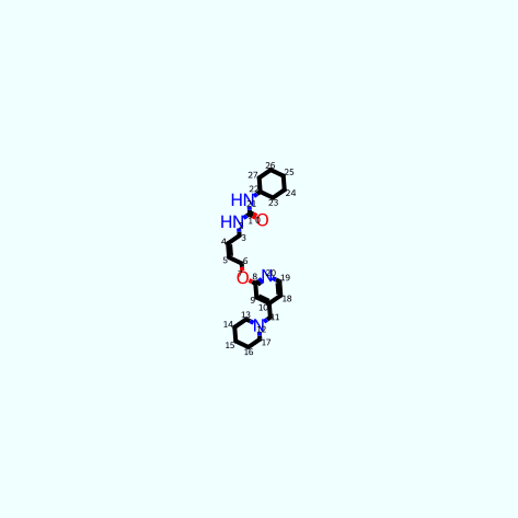 O=C(NC/C=C\COc1cc(CN2CCCCC2)ccn1)NC1CCCCC1